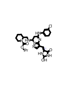 CC(C)OC(=O)N1CCCCC1CNC1CC(NC2=CCCC(Cl)=C2)=Nc2c(/C=C3\NC(O)NC3=O)cnn21